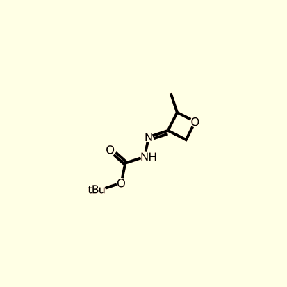 CC1OC/C1=N\NC(=O)OC(C)(C)C